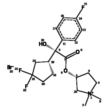 C[N+]1(C)CC[C@@H](OC(=O)[C@](O)(c2ccc(F)cc2)[C@@H]2CCC(F)(F)C2)C1.[Br-]